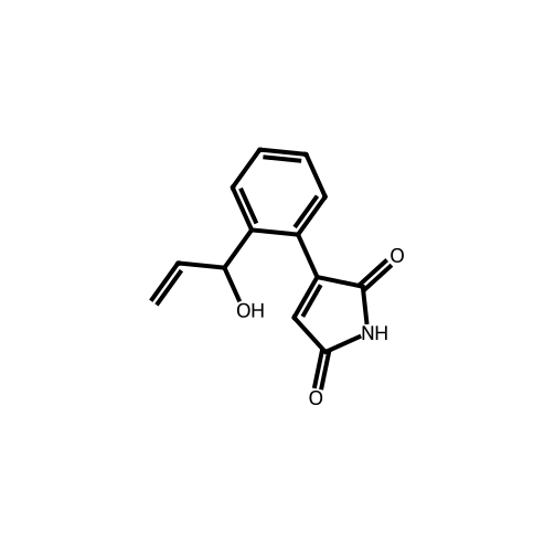 C=CC(O)c1ccccc1C1=CC(=O)NC1=O